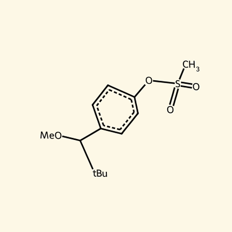 COC(c1ccc(OS(C)(=O)=O)cc1)C(C)(C)C